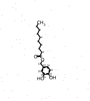 CCCCCCCCCC(=O)OCc1ccc(O)c(O)c1